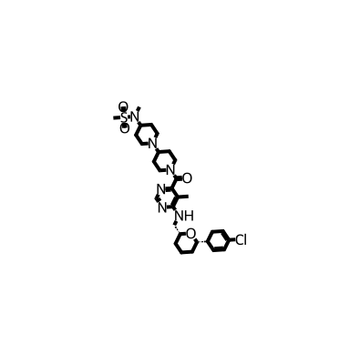 Cc1c(NC[C@H]2CCC[C@@H](C3C=CC(Cl)=CC3)O2)ncnc1C(=O)N1CCC(N2CCC(N(C)S(C)(=O)=O)CC2)CC1